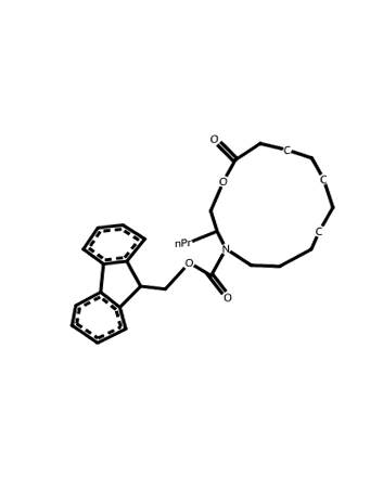 CCCC1COC(=O)CCCCCCCCCN1C(=O)OCC1c2ccccc2-c2ccccc21